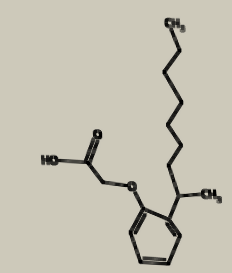 CCCCCCCC(C)c1ccccc1OCC(=O)O